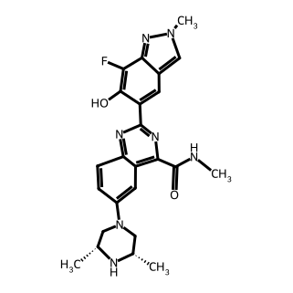 CNC(=O)c1nc(-c2cc3cn(C)nc3c(F)c2O)nc2ccc(N3C[C@@H](C)N[C@@H](C)C3)cc12